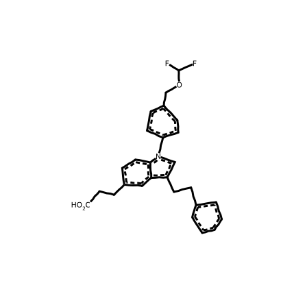 O=C(O)CCc1ccc2c(c1)c(CCc1ccccc1)cn2-c1ccc(COC(F)F)cc1